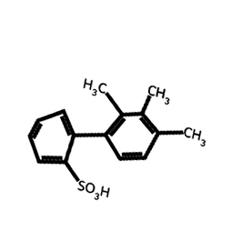 Cc1ccc(-c2ccccc2S(=O)(=O)O)c(C)c1C